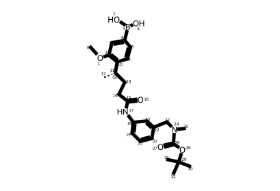 COc1cc(B(O)O)ccc1[C@@H](C)CCC(=O)Nc1cccc(CN(C)C(=O)OC(C)(C)C)c1